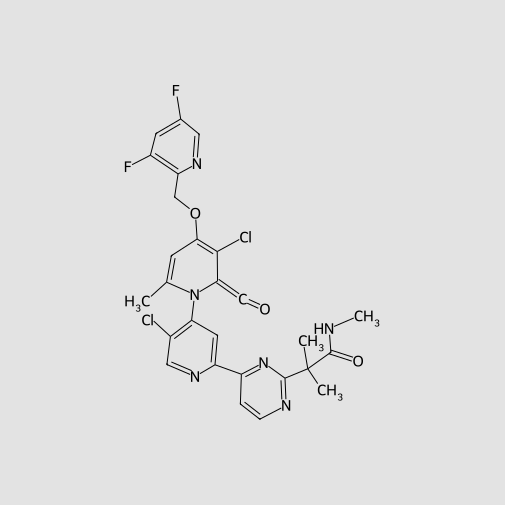 CNC(=O)C(C)(C)c1nccc(-c2cc(N3C(=C=O)C(Cl)=C(OCc4ncc(F)cc4F)C=C3C)c(Cl)cn2)n1